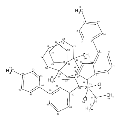 Cc1ccc(-c2cccc3c2C=C(CC2(C)CCCCCC2)[CH]3[Zr]([Cl])([Cl])([CH]2C(CC3(C)CCCCCC3)=Cc3c(-c4ccc(C)cc4)cccc32)[SiH](C)C)cc1